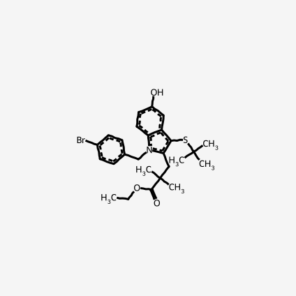 CCOC(=O)C(C)(C)Cc1c(SC(C)(C)C)c2cc(O)ccc2n1Cc1ccc(Br)cc1